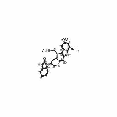 COc1cc([N+](=O)[O-])c2[nH]c(C(=O)N3CCC(n4c(=O)[nH]c5ccccc54)CC3)c(CCNC(C)=O)c2c1